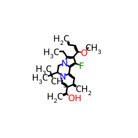 C=C/C=C(/OC)c1c(F)c2n(c1CC)CC(C(C)(C)C)N1C=C(C(=C)O)C(=C)C=C21